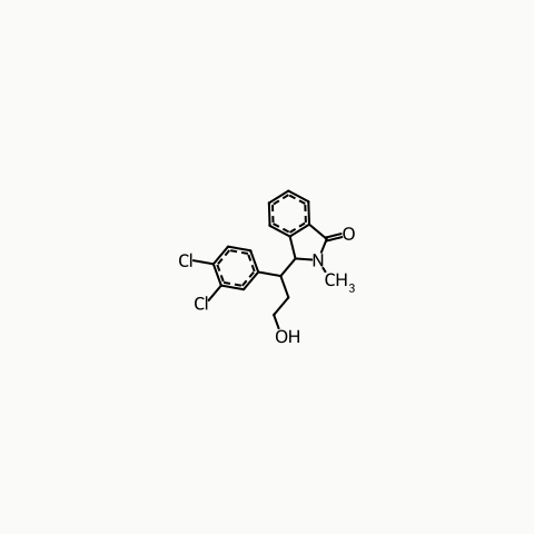 CN1C(=O)c2ccccc2C1C(CCO)c1ccc(Cl)c(Cl)c1